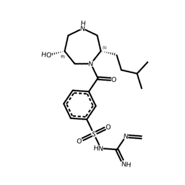 C=NC(=N)NS(=O)(=O)c1cccc(C(=O)N2C[C@H](O)CNC[C@@H]2CCC(C)C)c1